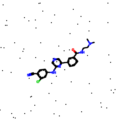 CN(C)CCNC(=O)c1cccc(-c2cncc(Nc3ccc(C#N)c(Cl)c3)n2)c1